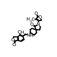 CC1=C(N2CCC3(CCC(NCc4ccc5c(c4C)COC5=O)CC3)C2=O)COC1=O